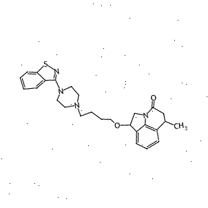 CC1CC(=O)N2CC(OCCCCN3CCN(c4nsc5ccccc45)CC3)c3cccc1c32